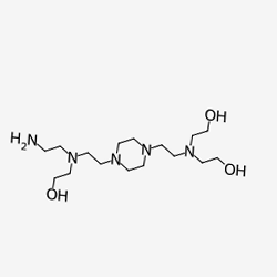 NCCN(CCO)CCN1CCN(CCN(CCO)CCO)CC1